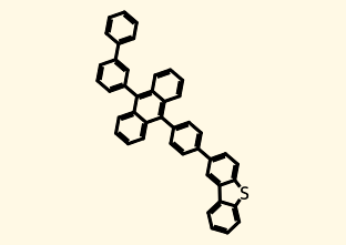 c1ccc(-c2cccc(-c3c4ccccc4c(-c4ccc(-c5ccc6sc7ccccc7c6c5)cc4)c4ccccc34)c2)cc1